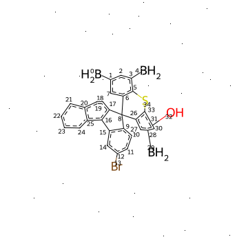 Bc1cc(B)c2c(c1)C1(c3ccc(Br)cc3-c3c1ccc1ccccc31)c1cc(B)cc(O)c1S2